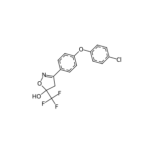 OC1(C(F)(F)F)CC(c2ccc(Oc3ccc(Cl)cc3)cc2)=NO1